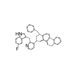 Fc1ccc2[nH]cc(Cc3ncccc3C3C=c4c(ccc5c4=CCc4ccccc4-5)C(Cc4ccccc4)C3)c2c1